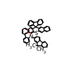 CC1(C)c2ccccc2-c2ccc(N(c3ccccc3-c3ccccc3)c3cccc4c3Sc3cc5ccccc5cc3C43c4ccccc4-c4ccccc43)cc21